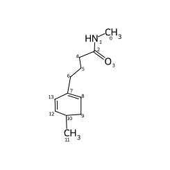 CNC(=O)CCCC1=CCC(C)C=C1